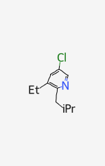 CCc1cc(Cl)cnc1CC(C)C